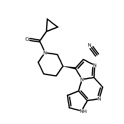 C#N.O=C(C1CC1)N1CCC[C@H](c2cnc3cnc4[nH]ccc4n23)C1